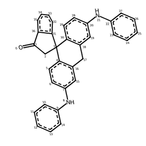 O=C1CC2(c3ccc(Nc4ccccc4)cc3Cc3cc(Nc4ccccc4)ccc32)c2ccccc21